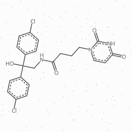 O=C(CCCn1ccc(=O)[nH]c1=O)NCC(O)(c1ccc(Cl)cc1)c1ccc(Cl)cc1